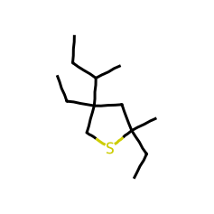 CCC(C)C1(CC)CSC(C)(CC)C1